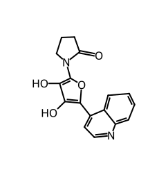 O=C1CCCN1c1oc(-c2ccnc3ccccc23)c(O)c1O